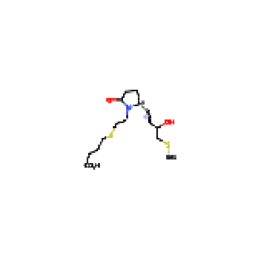 CCCCSCC(O)/C=C/[C@H]1CCC(=O)N1CCSCCCC(=O)O